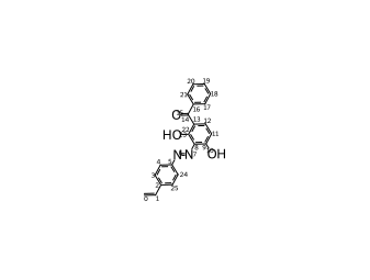 C=Cc1ccc(N=Nc2c(O)ccc(C(=O)c3ccccc3)c2O)cc1